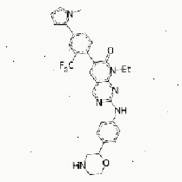 CCn1c(=O)c(-c2ccc(-c3cccn3C)cc2C(F)(F)F)cc2cnc(Nc3ccc(C4CNCCO4)cc3)nc21